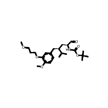 COCCCOc1cc(C[C@@H](C[C@@H](C=O)NC(=O)OC(C)(C)C)C(C)C)ccc1OC